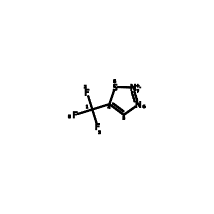 FC(F)(F)C1=CN=[N+]S1